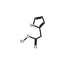 CCOC(=O)Cc1ccc[se]1